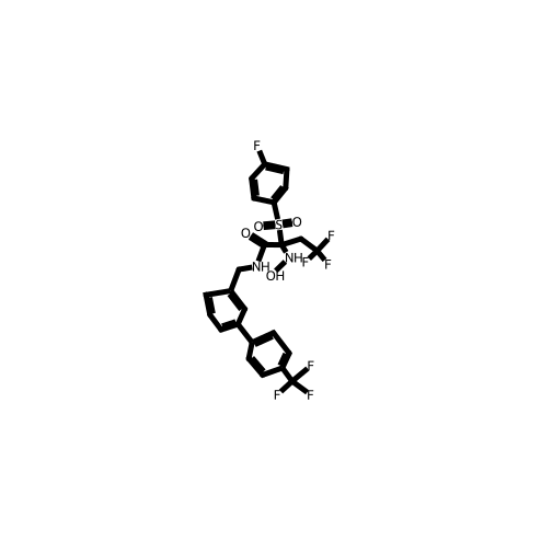 O=C(NCc1cccc(-c2ccc(C(F)(F)F)cc2)c1)C(CC(F)(F)F)(NO)S(=O)(=O)c1ccc(F)cc1